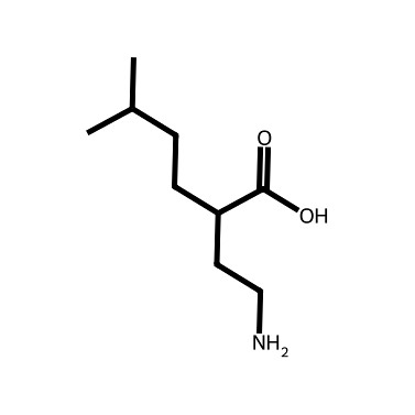 CC(C)CCC(CCN)C(=O)O